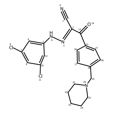 N#C/C(=N\Nc1cc(Cl)cc(Cl)c1)C(=O)c1ccc(CN2CCCCC2)cc1